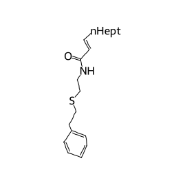 CCCCCCCC=CC(=O)NCCSCCc1ccccc1